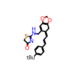 CC(C)(C)c1ccc(C=CC=C2CC3=C(C=C2CNC2=NC(=O)CS2)OCO3)cc1